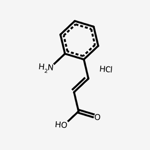 Cl.Nc1ccccc1C=CC(=O)O